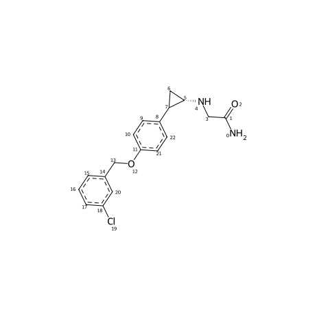 NC(=O)CN[C@H]1CC1c1ccc(OCc2cccc(Cl)c2)cc1